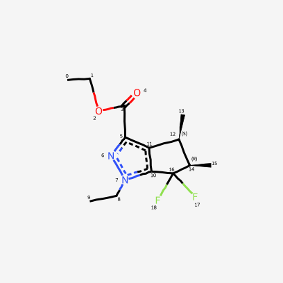 CCOC(=O)c1nn(CC)c2c1[C@@H](C)[C@@H](C)C2(F)F